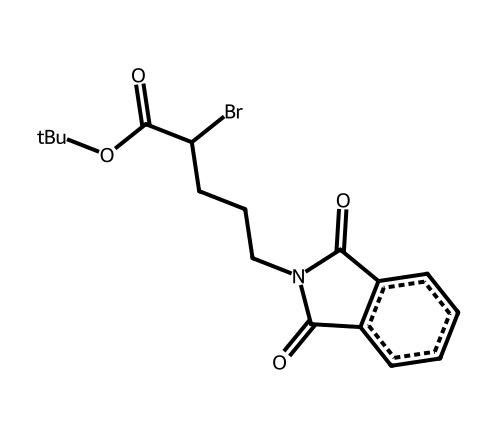 CC(C)(C)OC(=O)C(Br)CCCN1C(=O)c2ccccc2C1=O